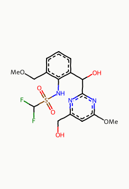 COCc1cccc(C(O)c2nc(CO)cc(OC)n2)c1NS(=O)(=O)C(F)F